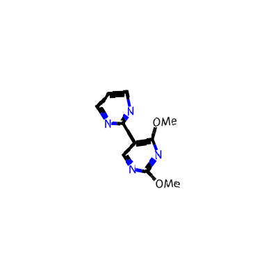 COc1ncc(-c2ncccn2)c(OC)n1